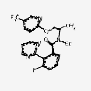 CCN(C(=O)c1cccc(F)c1-c1ncccn1)C(C)COc1ccc(C(F)(F)F)cn1